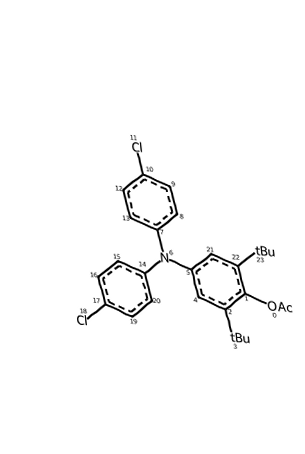 CC(=O)Oc1c(C(C)(C)C)cc(N(c2ccc(Cl)cc2)c2ccc(Cl)cc2)cc1C(C)(C)C